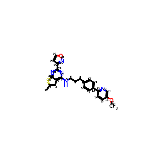 Cc1cc2c(NCCCc3ccc(-c4ccc(OC(F)(F)F)cn4)cc3)nc(-c3ccon3)nc2s1